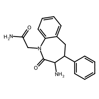 NC(=O)CN1C(=O)C(N)C(c2ccccc2)Cc2ccccc21